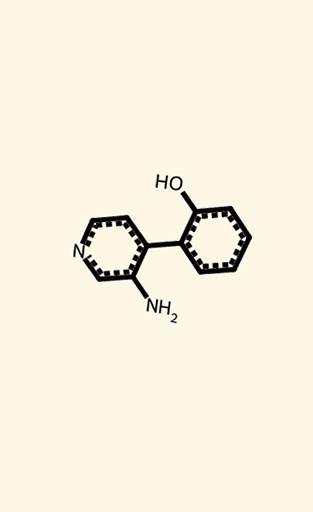 Nc1cnccc1-c1ccccc1O